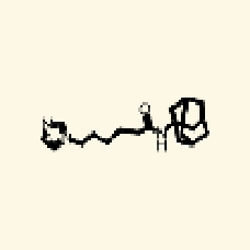 O=C(CCCCCn1ccnc1)NC12CC3CC(CC(C3)C1)C2